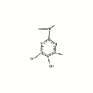 CCCc1nc(N(C)C)nc(C)c1O